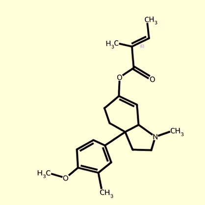 C/C=C(\C)C(=O)OC1=CC2N(C)CCC2(c2ccc(OC)c(C)c2)CC1